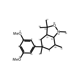 COc1cc(OC)cc(C2(C)CC(C)C3C(C2)C(C)(C)ON3C)c1